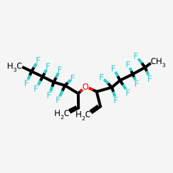 C=CC(OC(C=C)C(F)(F)C(F)(F)C(F)(F)C(C)(F)F)C(F)(F)C(F)(F)C(F)(F)C(C)(F)F